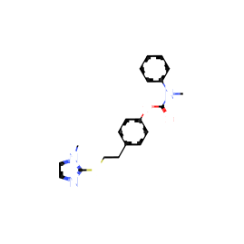 CN(C(=O)Oc1ccc(CCSc2nccn2C)cc1)c1ccccc1